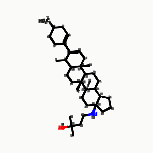 CC1C(C2=CCC(C(=O)O)CC2)=CC[C@@]2(C)C1CC[C@]1(C)C2CCC2C3CCC[C@]3(NCCC(C)(C)O)CC[C@]21C